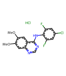 COc1cc2ncnc(Nc3c(F)cc(Cl)cc3F)c2cc1OC.Cl